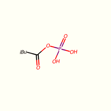 CCC(C)C(=O)OP(=O)(O)O